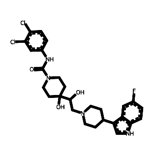 O=C(Nc1ccc(Cl)c(Cl)c1)N1CCC(O)(C(O)CN2CCC(c3c[nH]c4ccc(F)cc34)CC2)CC1